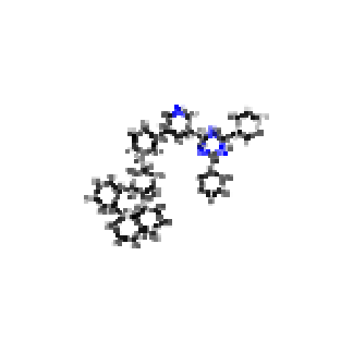 c1ccc(-c2nc(-c3ccccc3)nc(-c3cncc(-c4cccc(-c5ccc6c(c5)-c5ccccc5-c5cccc7cccc-6c57)c4)c3)n2)cc1